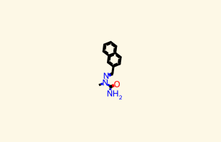 CN(N=Cc1ccc2ccccc2c1)C(N)=O